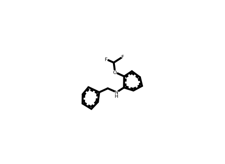 FC(F)Oc1ccccc1NCc1ccccc1